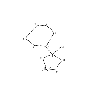 CC1(C2CCCCC2)CCNC1